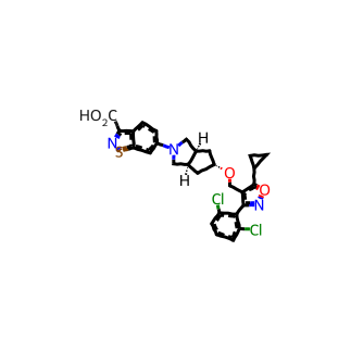 O=C(O)c1nsc2cc(N3C[C@H]4C[C@H](OCc5c(-c6c(Cl)cccc6Cl)noc5C5CC5)C[C@H]4C3)ccc12